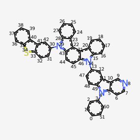 c1ccc(-n2c3ccncc3c3cc(-n4c5ccccc5c5c6c7ccccc7n(-c7ccc8sc9ccccc9c8c7)c6ccc54)ccc32)cc1